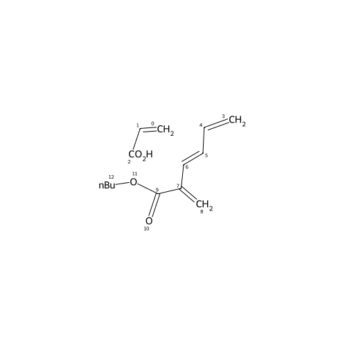 C=CC(=O)O.C=CC=CC(=C)C(=O)OCCCC